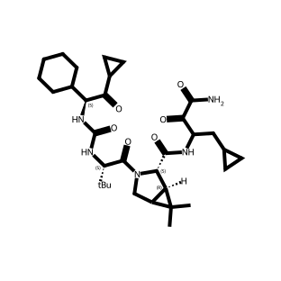 CC(C)(C)[C@H](NC(=O)N[C@H](C(=O)C1CC1)C1CCCCC1)C(=O)N1CC2[C@@H]([C@H]1C(=O)NC(CC1CC1)C(=O)C(N)=O)C2(C)C